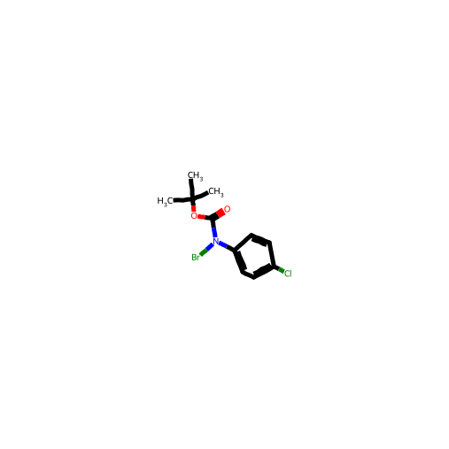 CC(C)(C)OC(=O)N(Br)c1ccc(Cl)cc1